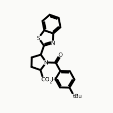 CC(C)(C)c1ccc(C(=O)N2C(C(=O)O)CCC2c2nc3ccccc3s2)cc1